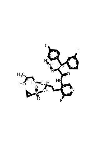 C[C@@H](O)CNC[C@H](CCc1c(F)cncc1NC(=O)C(N=[N+]=[N-])[C@@H](c1ccc(Cl)cc1)c1cccc(F)c1)NS(=O)(=O)C1CC1